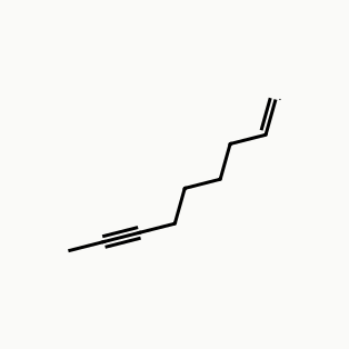 [CH]=CCCCCC#CC